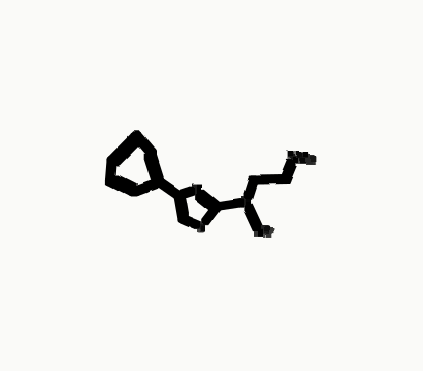 CCCN(CCNC)c1nc(-c2ccccc2)cs1